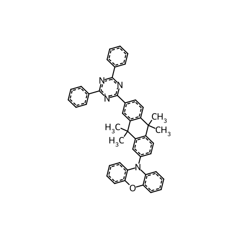 CC1(C)c2ccc(-c3nc(-c4ccccc4)nc(-c4ccccc4)n3)cc2C(C)(C)c2cc(N3c4ccccc4Oc4ccccc43)ccc21